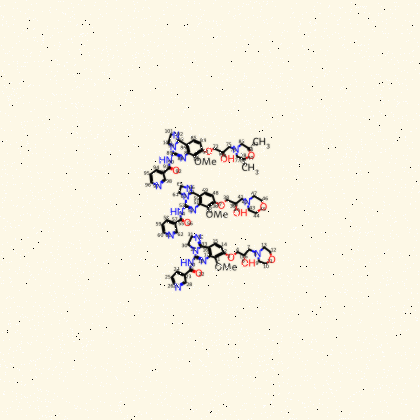 COc1c(OC[C@@H](O)CN2CCOCC2)ccc2c1N=C(NC(=O)c1cccnc1)N1CCN=C21.COc1c(OC[C@H](O)CN2CCOCC2)ccc2c1N=C(NC(=O)c1cccnc1)N1CCN=C21.COc1c(OC[C@H](O)CN2C[C@@H](C)O[C@@H](C)C2)ccc2c1N=C(NC(=O)c1cccnc1)N1CCN=C21